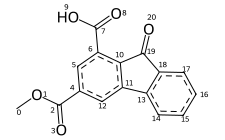 COC(=O)c1cc(C(=O)O)c2c(c1)-c1ccccc1C2=O